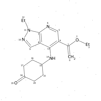 C=C(OCC)c1cnc2c(cnn2CC)c1NC1CCC(=O)CC1